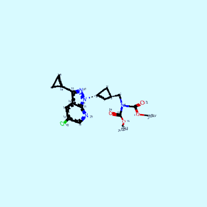 CC(C)(C)OC(=O)N(C[C@H]1C[C@H](n2nc(C3CC3)c3cc(Cl)cnc32)C1)C(=O)OC(C)(C)C